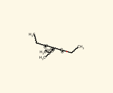 CCCCCCCC/C=C\CCCCCCCC(=O)OCCCCCCC(CCCCCCOC(=O)CCCCCCC/C=C\CCCCCCCC)OC(=O)OCCN(CCCCCC)CCN(C)C